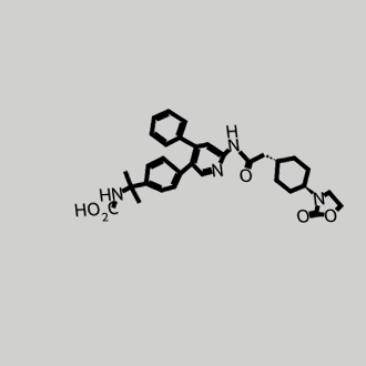 CC(C)(NC(=O)O)c1ccc(-c2cnc(NC(=O)C[C@H]3CC[C@H](N4CCOC4=O)CC3)cc2-c2ccccc2)cc1